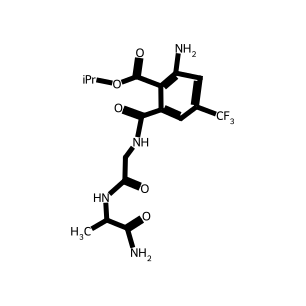 CC(C)OC(=O)c1c(N)cc(C(F)(F)F)cc1C(=O)NCC(=O)NC(C)C(N)=O